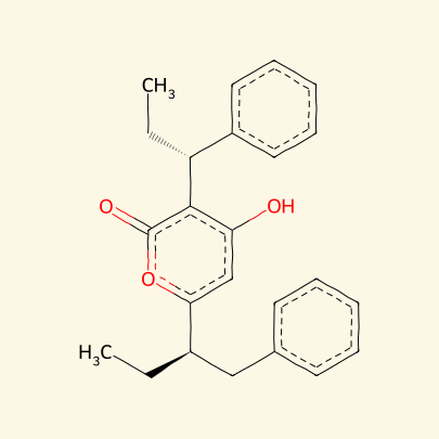 CC[C@H](Cc1ccccc1)c1cc(O)c([C@H](CC)c2ccccc2)c(=O)o1